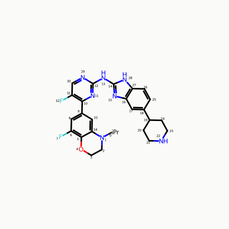 CC(C)N1CCOc2c(F)cc(-c3nc(Nc4nc5cc(C6CCNCC6)ccc5[nH]4)ncc3F)cc21